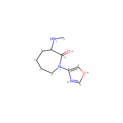 CNC1CCCCN(c2cocn2)C1=O